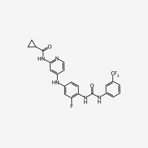 O=C(Nc1cccc(C(F)(F)F)c1)Nc1ccc(Nc2ccnc(NC(=O)C3CC3)c2)cc1F